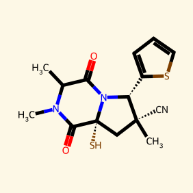 CC1C(=O)N2[C@H](c3cccs3)[C@](C)(C#N)C[C@@]2(S)C(=O)N1C